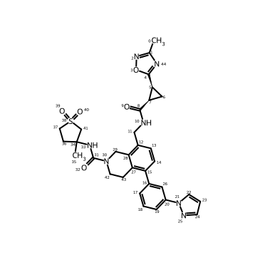 Cc1noc([C@H]2C[C@H]2C(=O)NCc2ccc(-c3cccc(-n4cccn4)c3)c3c2CN(C(=O)NC2(C)CCS(=O)(=O)C2)CC3)n1